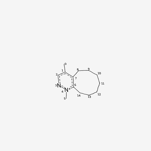 Cc1cn[n+](C)c2c1CCCCCCC2